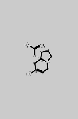 C=C(C)C[C@]12CCCN1CC=C(C)C2